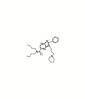 CCCCN(CCCC)C(=O)c1cnc2nc(-c3ccccc3)n(CCCN3CCCCC3)c2n1